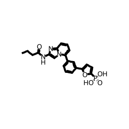 CCCC(=O)Nc1cn2c(-c3cccc(-c4ccc(P(=O)(O)O)o4)c3)cccc2n1